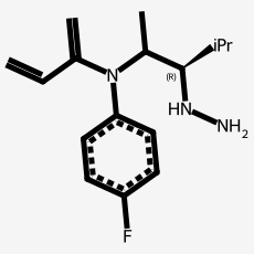 C=CC(=C)N(c1ccc(F)cc1)C(C)[C@H](NN)C(C)C